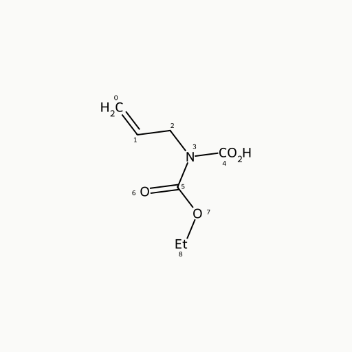 C=CCN(C(=O)O)C(=O)OCC